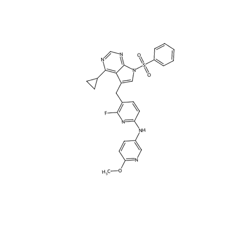 COc1ccc(Nc2ccc(Cc3cn(S(=O)(=O)c4ccccc4)c4ncnc(C5CC5)c34)c(F)n2)cn1